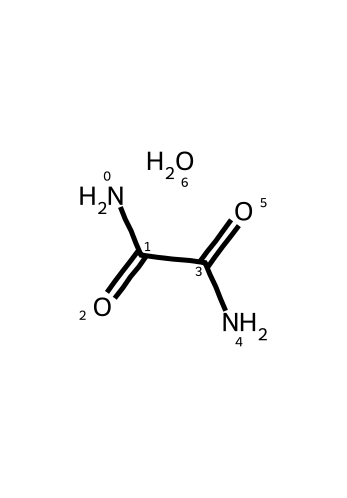 NC(=O)C(N)=O.O